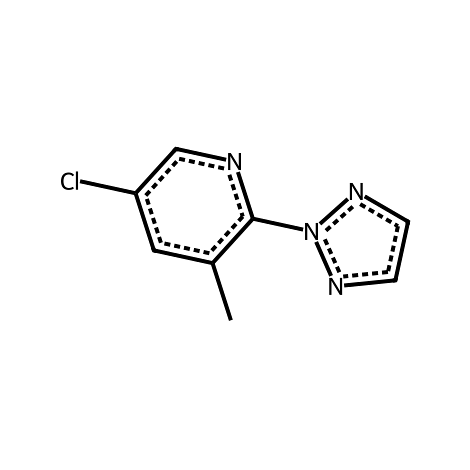 Cc1cc(Cl)cnc1-n1nccn1